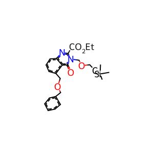 CCOC(=O)c1nc2cccc(COCc3ccccc3)c2c(=O)n1COCC[Si](C)(C)C